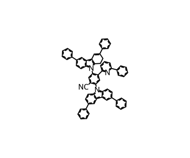 N#Cc1cc(-n2c3c(c4cc(-c5ccccc5)ccc42)C=C(c2ccccc2)CC3)c(-c2cccc(-c3ccccc3)n2)cc1-n1c2ccc(-c3ccccc3)cc2c2cc(-c3ccccc3)ccc21